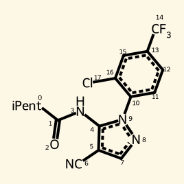 CCCC(C)C(=O)Nc1c(C#N)cnn1-c1ccc(C(F)(F)F)cc1Cl